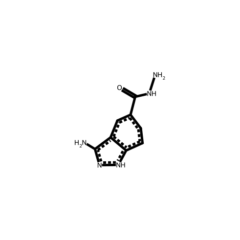 NNC(=O)c1ccc2[nH]nc(N)c2c1